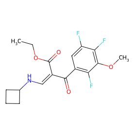 CCOC(=O)C(=CNC1CCC1)C(=O)c1cc(F)c(F)c(OC)c1F